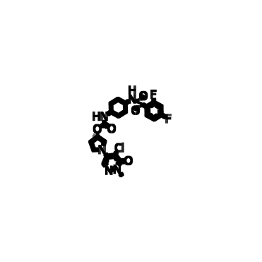 Cn1ncc(N2CC[C@@H](OC(=O)NC3CCC(NS(=O)(=O)c4ccc(F)cc4F)CC3)C2)c(Cl)c1=O